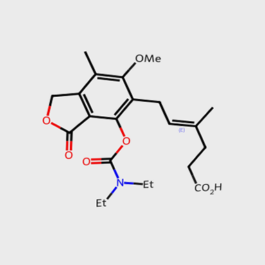 CCN(CC)C(=O)Oc1c(C/C=C(\C)CCC(=O)O)c(OC)c(C)c2c1C(=O)OC2